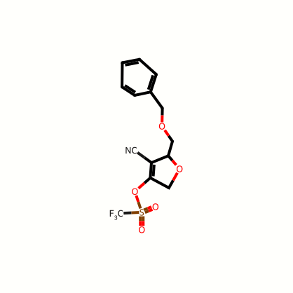 N#CC1=C(OS(=O)(=O)C(F)(F)F)COC1COCc1ccccc1